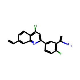 C=Cc1ccc2c(Cl)cc(-c3ccc(F)c(C(=C)N)c3)nc2c1